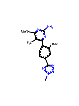 CNc1nc(N)nc(-c2ccc(-c3nnn(C)n3)cc2OC)c1C(F)(F)F